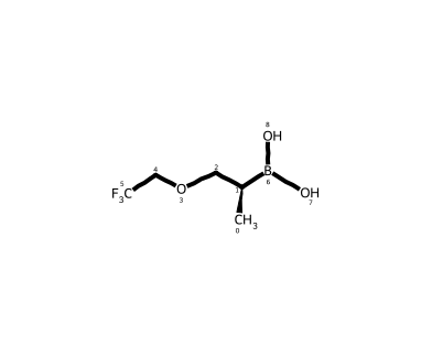 C[C@@H](COCC(F)(F)F)B(O)O